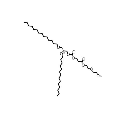 CCCCCCCCCCCCCCOC[C@H](COC(=O)OCCC(=O)OCCOCCOC)OCCCCCCCCCCCCCC